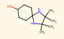 CC1(C)NC2(CCC(O)CC2)NC1(C)C